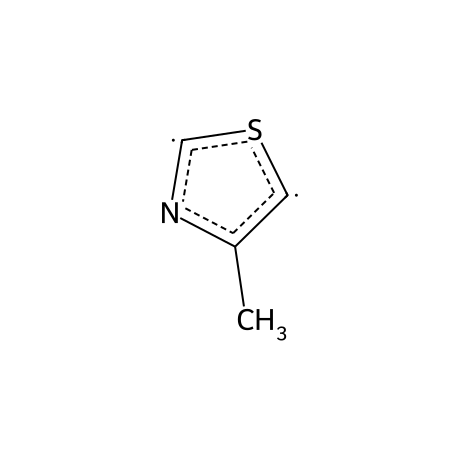 Cc1[c]s[c]n1